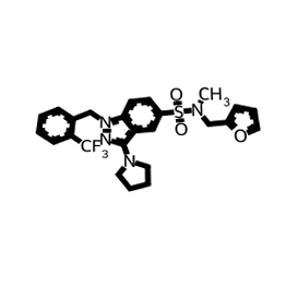 CN(Cc1ccco1)S(=O)(=O)c1ccc2c(c1)c(N1CCCC1)nn2Cc1ccccc1C(F)(F)F